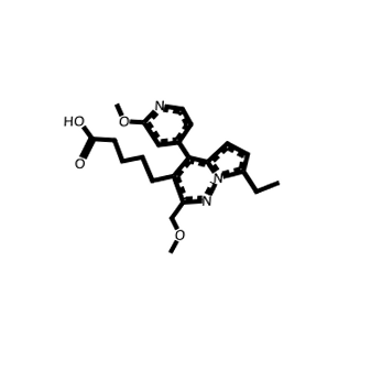 CCc1ccc2c(-c3ccnc(OC)c3)c(CCCCC(=O)O)c(COC)nn12